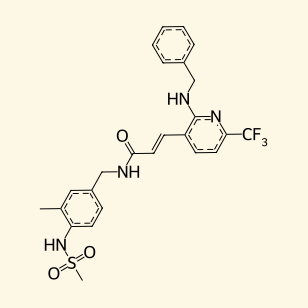 Cc1cc(CNC(=O)C=Cc2ccc(C(F)(F)F)nc2NCc2ccccc2)ccc1NS(C)(=O)=O